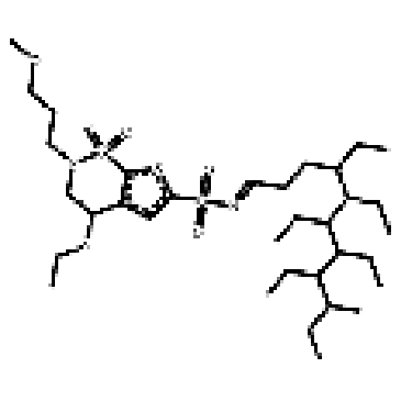 CCN[C@H]1CN(CCCOC)S(=O)(=O)c2sc(S(=O)(=O)/N=C/CCC(CC)C(CC)C(CC)C(CC)C(CC)C(C)CC)cc21